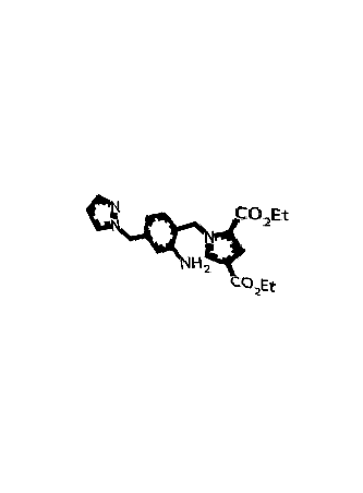 CCOC(=O)c1cc(C(=O)OCC)n(Cc2ccc(Cn3cccn3)cc2N)c1